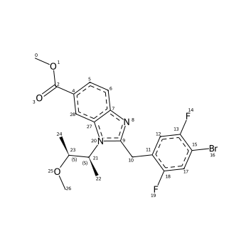 COC(=O)c1ccc2nc(Cc3cc(F)c(Br)cc3F)n([C@@H](C)[C@H](C)OC)c2c1